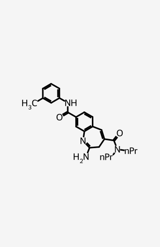 CCCN(CCC)C(=O)C1=Cc2ccc(C(=O)Nc3cccc(C)c3)cc2N=C(N)C1